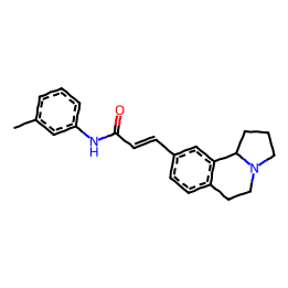 Cc1cccc(NC(=O)/C=C/c2ccc3c(c2)C2CCCN2CC3)c1